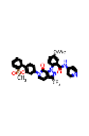 COc1ccc(-n2nc(C(F)(F)F)c3c2C(=O)N(c2ccc(-c4ccccc4S(C)(=O)=O)cc2)CC3)c(C(=O)Nc2ccncc2)c1